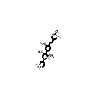 C/C=C\C(=C/N)N1C[C@@H](C)C(C2C=CC(CCC(/C=N\CC(F)(F)F)=C/C)=C(OC)C2)=C(N)N1